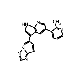 Cc1ncccc1-c1cnc2[nH]cc(-c3ccc4ncnn4c3)c2c1